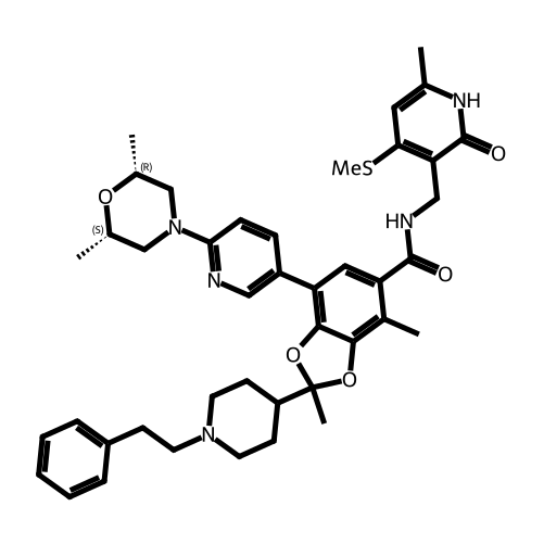 CSc1cc(C)[nH]c(=O)c1CNC(=O)c1cc(-c2ccc(N3C[C@@H](C)O[C@@H](C)C3)nc2)c2c(c1C)OC(C)(C1CCN(CCc3ccccc3)CC1)O2